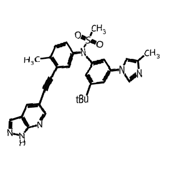 Cc1cn(-c2cc(N(c3ccc(C)c(C#Cc4cnc5[nH]ncc5c4)c3)S(C)(=O)=O)cc(C(C)(C)C)c2)cn1